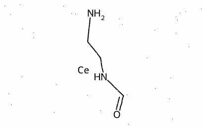 NCCNC=O.[Ce]